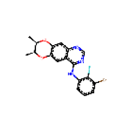 C[C@@H]1Oc2cc3c(Nc4cccc(Br)c4F)ncnc3cc2O[C@@H]1C